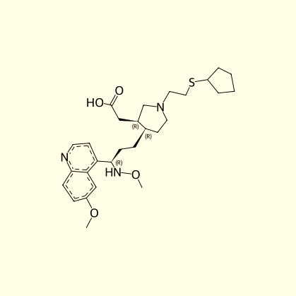 CON[C@H](CC[C@@H]1CCN(CCSC2CCCC2)C[C@@H]1CC(=O)O)c1ccnc2ccc(OC)cc12